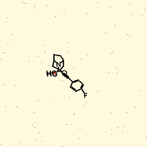 O=C(O)N1C2CCC1CC(O)(C#Cc1ccc(F)cc1)C2